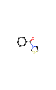 O=C(c1ccccc1)N1C=CSC1